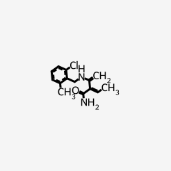 C=C(NCc1c(C)cccc1Cl)/C(=C\C)C(N)=O